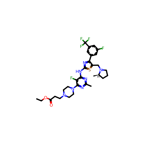 CCOC(=O)CCN1CCN(c2nc(C)nc(Nc3nc(-c4cc(F)cc(C(F)(F)F)c4)c(CN4CCC[C@H]4C)s3)c2F)CC1